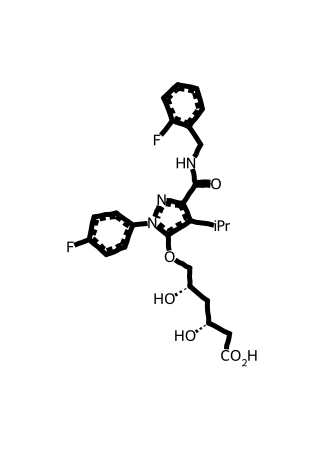 CC(C)c1c(C(=O)NCc2ccccc2F)nn(-c2ccc(F)cc2)c1OC[C@@H](O)C[C@@H](O)CC(=O)O